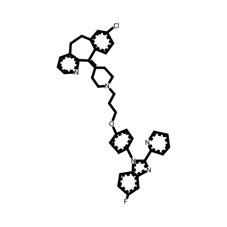 Fc1ccc2c(c1)nc(-c1ccccn1)n2-c1ccc(OCCCN2CCC(=C3c4ccc(Cl)cc4CCc4cccnc43)CC2)cc1